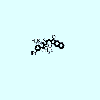 BN1c2ccc(C(C)C)cc2C(C)(C)c2cc(C=C3C(=O)c4cc5ccccc5cc4C3=O)sc21